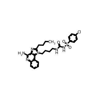 CCCCc1nc2c(N)nc3ccccc3c2n1CCCCNC(=O)NS(=O)(=O)c1ccc(Cl)cc1